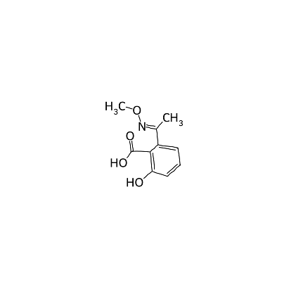 CON=C(C)c1cccc(O)c1C(=O)O